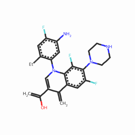 C=C(O)C1=CN(c2cc(N)c(F)cc2CC)c2c(cc(F)c(N3CCNCC3)c2F)C1=C